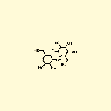 OCC1O[C@@H](O[C@H]2C(CO)O[C@H](O)C(O)[C@@H]2O)C(O)[C@H](O)[C@@H]1O